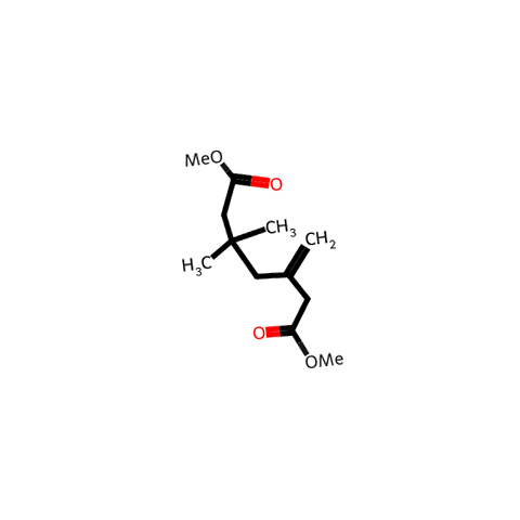 C=C(CC(=O)OC)CC(C)(C)CC(=O)OC